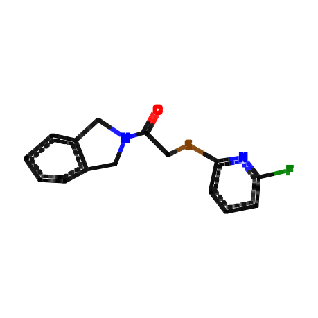 O=C(CSc1cccc(F)n1)N1Cc2ccccc2C1